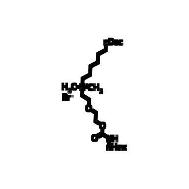 CCCCCCCCCCCCCCCC[N+](C)(C)CCOCCOC(=O)NCCCCCC.[Br-]